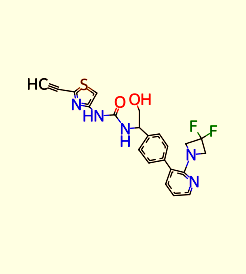 C#Cc1nc(NC(=O)NC(CO)c2ccc(-c3cccnc3N3CC(F)(F)C3)cc2)cs1